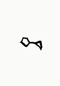 [C]1=CC(C2CC2)CC1